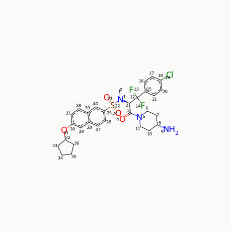 CN([C@H](C(=O)N1CCC(N)CC1)C(F)(F)c1ccc(Cl)cc1)S(=O)(=O)c1ccc2cc(OC3CCCC3)ccc2c1